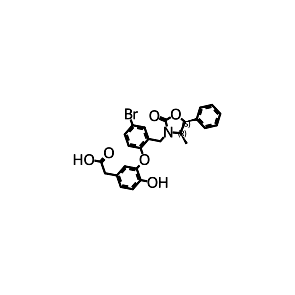 C[C@@H]1[C@H](c2ccccc2)OC(=O)N1Cc1cc(Br)ccc1Oc1cc(CC(=O)O)ccc1O